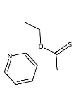 CCOC(C)=S.c1ccncc1